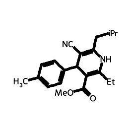 CCC1=C(C(=O)OC)C(c2ccc(C)cc2)C(C#N)=C(CC(C)C)N1